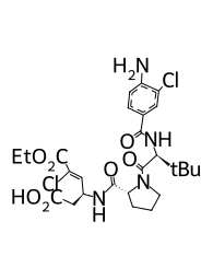 CCOC(=O)/C(Cl)=C/[C@H](CC(=O)O)NC(=O)[C@H]1CCCN1C(=O)[C@@H](NC(=O)c1ccc(N)c(Cl)c1)C(C)(C)C